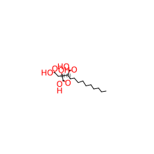 CCCCCCCCCC[C@H](C(=O)O)[C@@](O)(CC(=O)O)C(=O)O